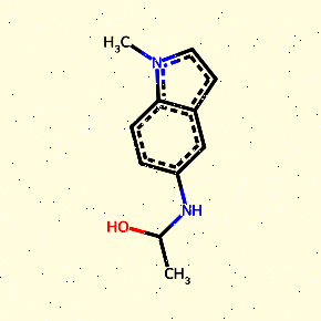 CC(O)Nc1ccc2c(ccn2C)c1